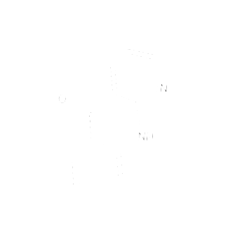 Cc1ccc2c(=O)c3ccccc3[nH]c2n1